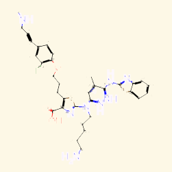 CNCC#Cc1ccc(OCCCc2sc(N(CCCCCN)C(=N)/C=C(/C)C(=N)Nc3nc4ccccc4s3)nc2C(=O)O)c(F)c1